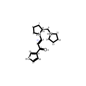 O=C(/C=C/N1CCC[C@H]1CN1CCCC1)c1ccsc1